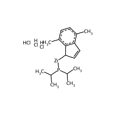 Cc1ccc(C)c2c1C=C[CH]2[Zr][P](C(C)C)C(C)C.Cl.Cl.Cl